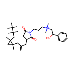 C=C(CC1CC(=O)N(CCC[N+](C)(C)CC(O)c2ccccc2)C1=O)CC1(C)CC1(C)CC(C)(C)C(C)(C)C